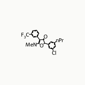 CCCc1cc(Cl)cc(C2OC(NC)=C(c3cccc(C(F)(F)F)c3)C2=O)c1